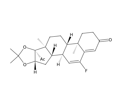 CC(=O)[C@@]12OC(C)(C)O[C@H]1C[C@H]1[C@@H]3C=C(F)C4=CC(=O)CC[C@]4(C)[C@H]3CC[C@@]12C